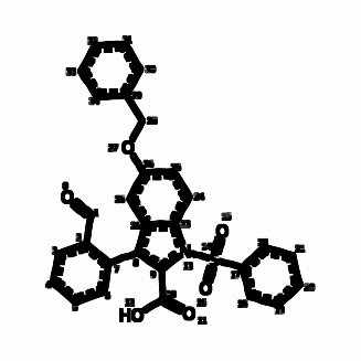 O=Cc1ccccc1-c1c(C(=O)O)n(S(=O)(=O)c2ccccc2)c2ccc(OCc3ccccc3)cc12